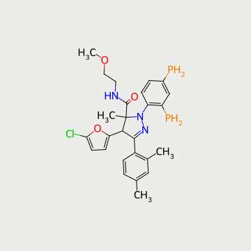 COCCNC(=O)C1(C)C(c2ccc(Cl)o2)C(c2ccc(C)cc2C)=NN1c1ccc(P)cc1P